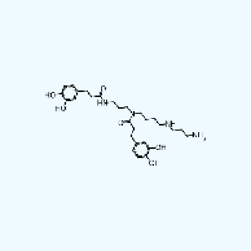 NCCCNCCCCN(CCCNC(=O)CCc1ccc(O)c(O)c1)C(=O)CCc1ccc(O)c(O)c1